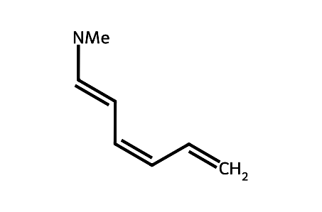 C=C/C=C\C=C\NC